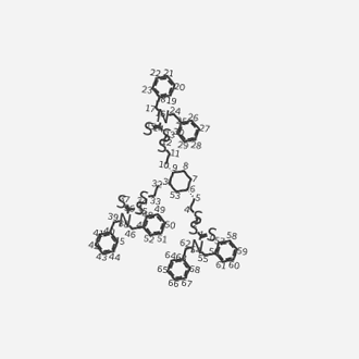 S=C(SSCC[C@H]1CC[C@@H](CCSSC(=S)N(Cc2ccccc2)Cc2ccccc2)[C@@H](CCSSC(=S)N(Cc2ccccc2)Cc2ccccc2)C1)N(Cc1ccccc1)Cc1ccccc1